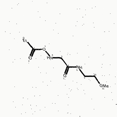 CCC(=O)ONCC(=O)NCCOC